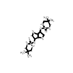 CC1(C)COP(=S)(OC2COC3C(OP4(=S)OCC(C)(C)CO4)COC23)OC1